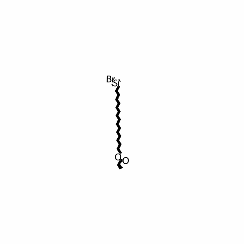 C=CC(=O)OCCCCCCCCCCCCCCCCC[Si](C)(C)Br